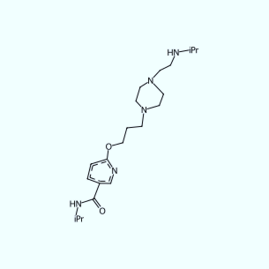 CC(C)NCCN1CCN(CCCOc2ccc(C(=O)NC(C)C)cn2)CC1